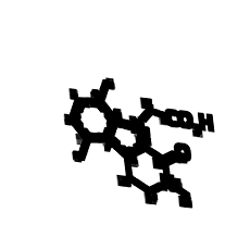 Cc1ccc(C)c2c1c1c(n2CC(=O)O)C(=O)N(C)CC1